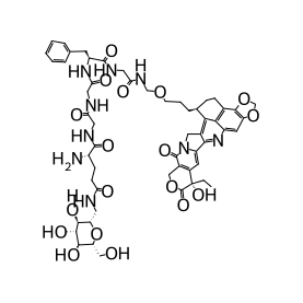 CC[C@@]1(O)C(=O)OCc2c1cc1n(c2=O)Cc2c-1nc1cc3c(c4c1c2[C@@H](CCCOCNC(=O)CNC(=O)[C@H](Cc1ccccc1)NC(=O)CNC(=O)CNC(=O)[C@@H](N)CCC(=O)NC[C@@H]1O[C@H](CO)[C@@H](O)[C@H](O)[C@H]1O)CC4)OCO3